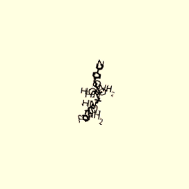 CC(C)(CNC(=O)CC(N)Cc1cc(F)ccc1F)CNC(=O)C(O)C(N)COCC1=CCC(c2ccncc2)C=C1